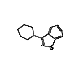 [c]1sc2ccccc2c1C1CCCCC1